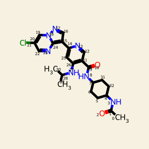 CC(=O)NC1CCC(NC(=O)c2cnc(-c3cnn4cc(Cl)cnc34)cc2NC(C)C)CC1